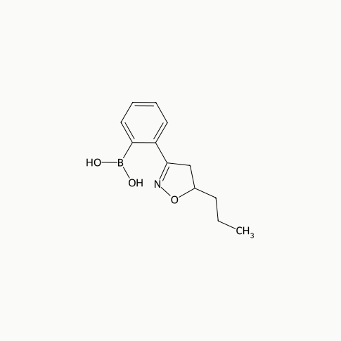 CCCC1CC(c2ccccc2B(O)O)=NO1